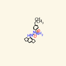 CC(C)Cc1ccc(S(N)(=O)=NC(=O)Nc2c3c(cc4c2CCC4)CCC3)cc1